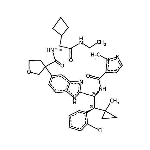 CCNC(=O)[C@H](NC(=O)C1(c2ccc3[nH]c([C@@H](NC(=O)c4ccnn4C)[C@H](c4ccccc4Cl)C4(C)CC4)nc3c2)CCOC1)C1CCC1